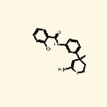 CC1(c2cccc(NC(=O)c3ccccc3C#N)c2)C=C(N)SCC1